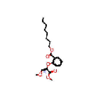 CCCCCCCCOC(=O)c1ccccc1O/C(=C/OC)C(=O)OC